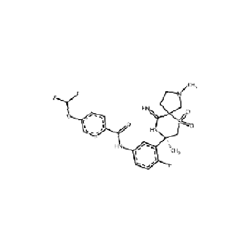 CN1CCC2(C1)C(=N)N[C@](C)(c1cc(NC(=O)c3ccc(OC(F)F)cn3)ccc1F)CS2(=O)=O